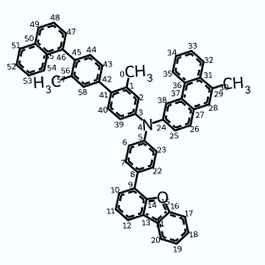 Cc1cc(N(c2ccc(-c3cccc4c3oc3ccccc34)cc2)c2ccc3cc(C)c4ccccc4c3c2)ccc1-c1ccc(-c2cccc3ccccc23)c(C)c1